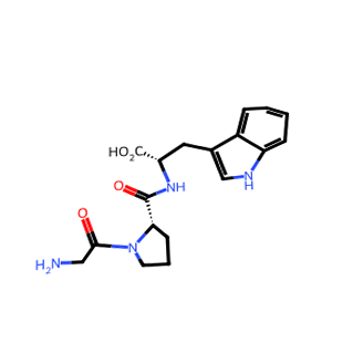 NCC(=O)N1CCC[C@H]1C(=O)N[C@@H](Cc1c[nH]c2ccccc12)C(=O)O